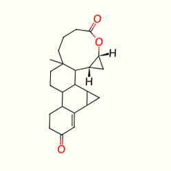 CC12CCCC(=O)O[C@@H]3C[C@@H]3C1C1C(CC2)C2CCC(=O)C=C2C2CC21